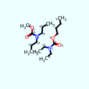 CCCCOC(=O)N(CC)CC.CCCN(CCC)C(=O)OC